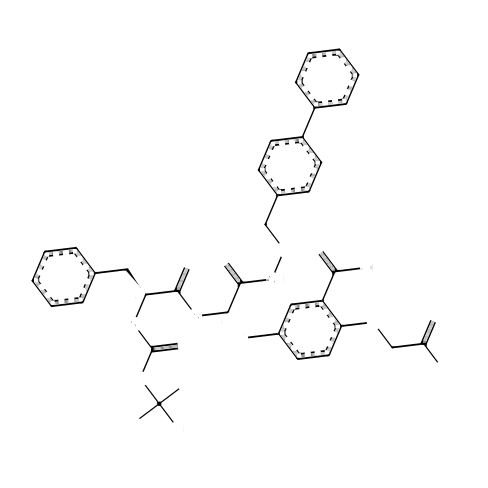 CC(C)(C)OC(=O)N[C@@H](Cc1ccccc1)C(=O)N[C@@H](Cc1ccc(OCC(=O)O)c(C(=O)O)c1)C(=O)NOCc1ccc(-c2ccccc2)cc1